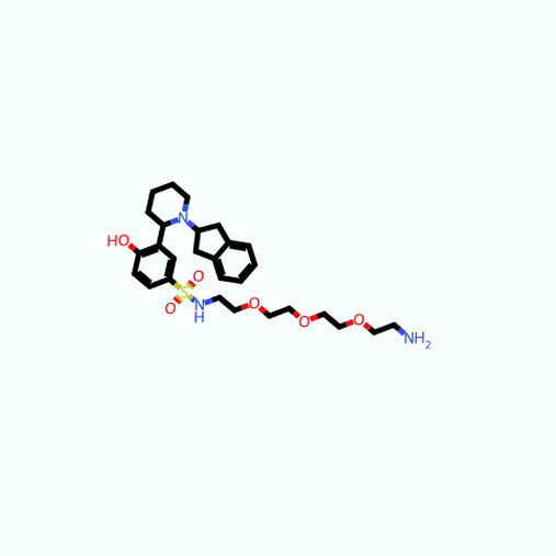 NCCOCCOCCOCCNS(=O)(=O)c1ccc(O)c(C2CCCCN2C2Cc3ccccc3C2)c1